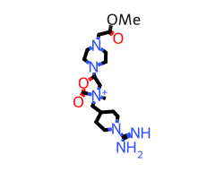 COC(=O)CN1CCN(C2C[N+](C)(CC3CCN(C(=N)N)CC3)C(=O)O2)CC1